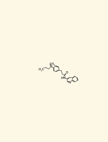 CCCN(C)c1ccc(CCC(=O)Nc2cnc3ccccc3c2)cc1